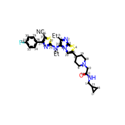 CCc1nc2sc(C3CCN(CC(=O)NCC4CC4)CC3)cn2c1N(CC)c1nc(-c2ccc(F)cc2)c(C#N)s1